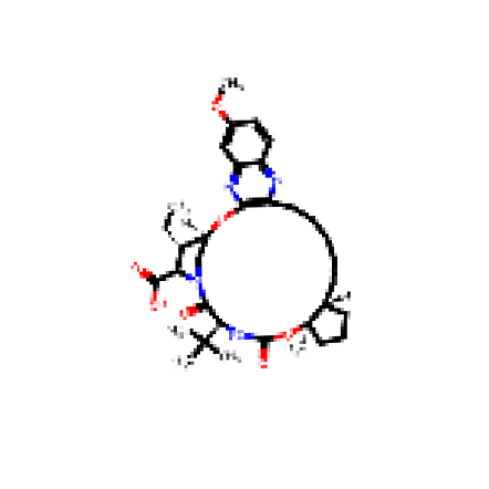 CC[C@H]1C(C(=O)O)N2C[C@@H]1Oc1nc3cc(OC)ccc3nc1CCCCC[C@@H]1CCC[C@@]1(C)OC(=O)N[C@@H](C(C)(C)C)C2=O